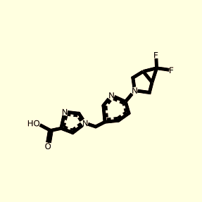 O=C(O)c1cn(Cc2ccc(N3CC4C(C3)C4(F)F)nc2)cn1